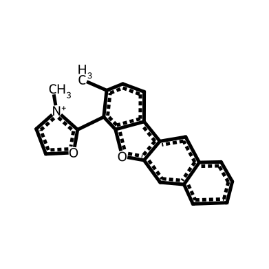 Cc1ccc2c(oc3cc4ccccc4cc32)c1-c1occ[n+]1C